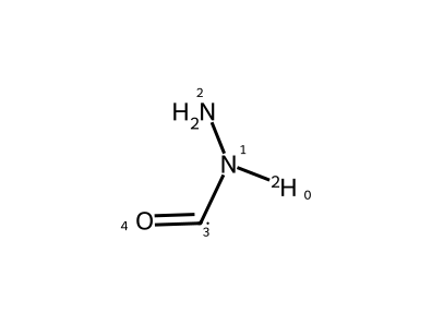 [2H]N(N)[C]=O